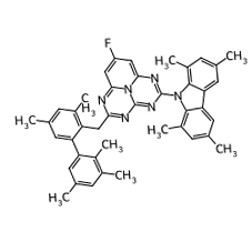 Cc1cc(C)c(C)c(-c2cc(C)cc(C)c2CC2=NC3=NC(n4c5c(C)cc(C)cc5c5cc(C)cc(C)c54)=NC4=CC(F)=CC(=N2)N43)c1